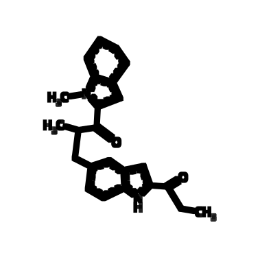 CCC(=O)c1cc2cc(CC(C)C(=O)c3cc4ccccc4n3C)ccc2[nH]1